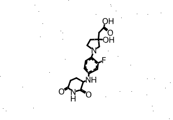 O=C(O)CC1(O)CCN(c2ccc(NC3CCC(=O)NC3=O)cc2F)C1